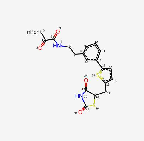 CCCCCC(=O)C(=O)NCCc1cccc(-c2ccc(CC3SC(=O)NC3=O)s2)c1